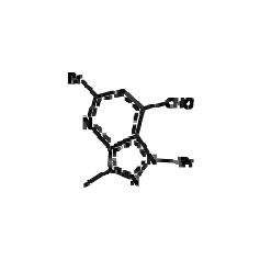 Cc1nn(C(C)C)c2c(C=O)cc(Br)nc12